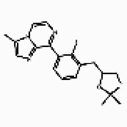 Cc1cnc2c(-c3cccc(CC4COC(C)(C)O4)c3F)nccn12